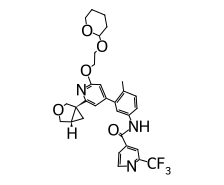 Cc1ccc(NC(=O)c2ccnc(C(F)(F)F)c2)cc1-c1cc(OCCOC2CCCCO2)nc([C@]23COC[C@H]2C3)c1